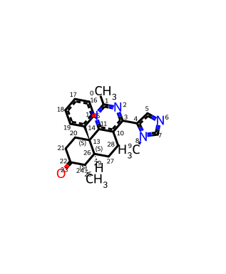 Cc1nc(-c2cncn2C)c2c(n1)[C@@]1(c3ccccc3)CCC(=O)[C@@H](C)[C@@H]1CC2